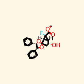 COC(=O)[C@]1(F)[C@H]2[C@H](O)CC3(O[C@@H](c4ccccc4)[C@H](c4ccccc4)O3)[C@H]21